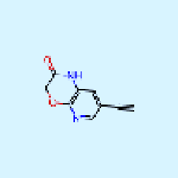 C#Cc1cnc2c(c1)NC(=O)CO2